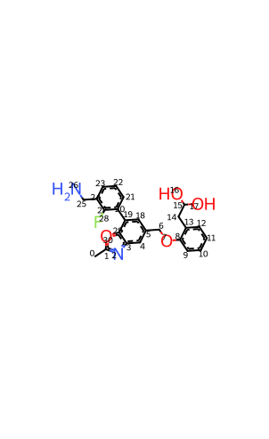 Cc1nc2cc(COc3ccccc3CC(O)O)cc(-c3cccc(CN)c3F)c2o1